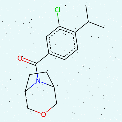 CC(C)c1ccc(C(=O)N2C3CCC2COC3)cc1Cl